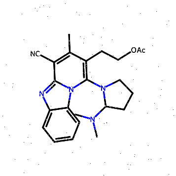 CC(=O)OCCc1c(C)c(C#N)c2nc3ccccc3n2c1N1CCCC1N(C)C